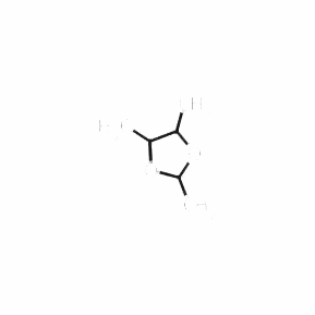 C[C]1OC(C)C(C)O1